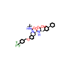 CC(C)(C)NC(=O)N1Cc2cc(OCc3ccc(C(F)(F)F)cc3)ccc2C[C@H]1C(=O)N[C@@H](Cc1ccc(-c2ccccc2)cc1)C(=O)O